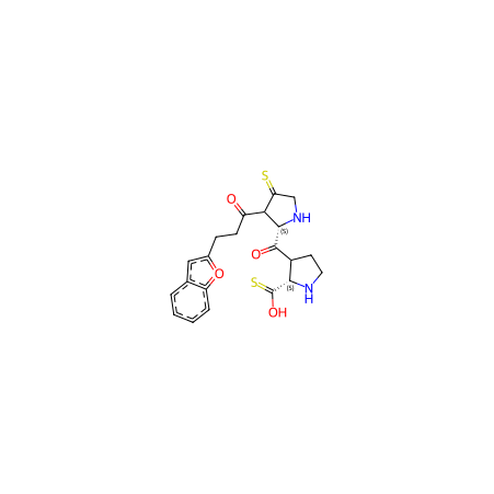 O=C(CCc1cc2ccccc2o1)C1C(=S)CN[C@@H]1C(=O)C1CCN[C@@H]1C(O)=S